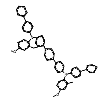 COc1ccc(N(c2ccc(-c3ccccc3)cc2)c2ccc(-c3ccc(-c4ccc5cc4Cc4cc(OC)ccc4N5c4ccc(-c5ccccc5)cc4)cc3)cc2)c(C)c1